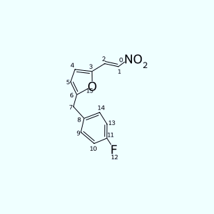 O=[N+]([O-])C=Cc1ccc(Cc2ccc(F)cc2)o1